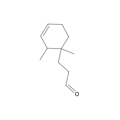 CC1C=CCCC1(C)CCC=O